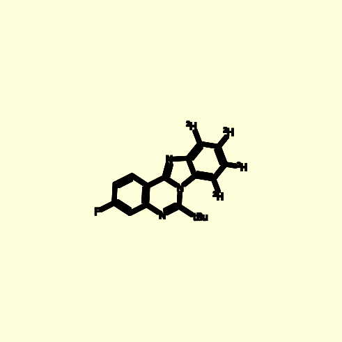 [2H]c1c([2H])c([2H])c2c(nc3c4ccc(F)cc4nc(C(C)(C)C)n32)c1[2H]